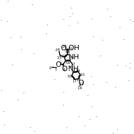 CCOC(=O)c1c(CNc2ccc(OC)cc2)[nH]c(C(=O)O)c1CC